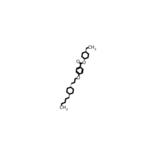 CCCCC[C@H]1CC[C@H](CCCOc2ccc(C(=O)O[C@H]3CC[C@H](CC)CC3)cc2)CC1